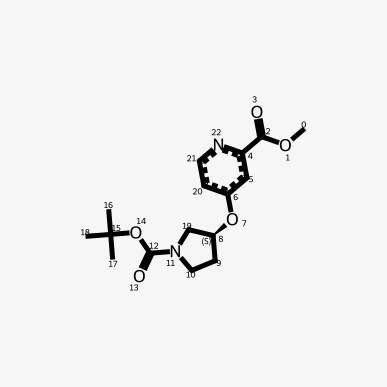 COC(=O)c1cc(O[C@H]2CCN(C(=O)OC(C)(C)C)C2)ccn1